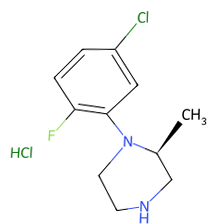 C[C@H]1CNCCN1c1cc(Cl)ccc1F.Cl